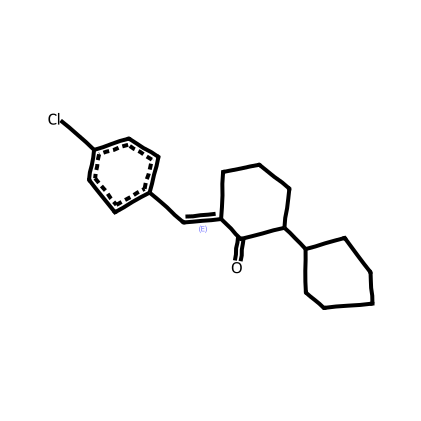 O=C1/C(=C/c2ccc(Cl)cc2)CCCC1C1CCCCC1